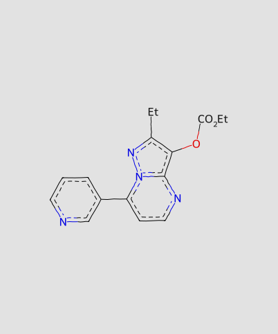 CCOC(=O)Oc1c(CC)nn2c(-c3cccnc3)ccnc12